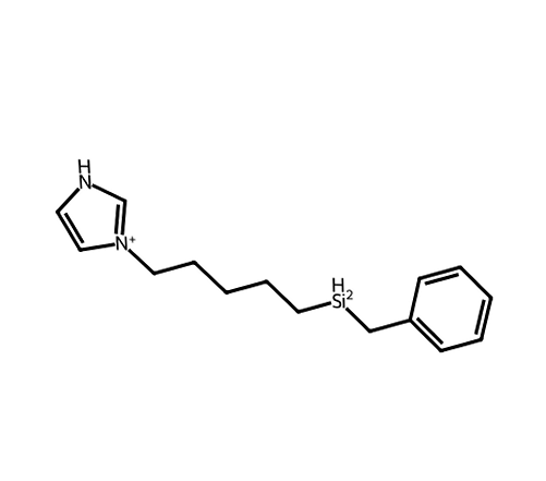 c1ccc(C[SiH2]CCCCC[n+]2cc[nH]c2)cc1